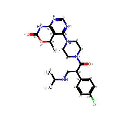 CC(C)NC[C@@H](C(=O)N1CCN(c2ncnc3c2C(C)OC(=O)N3)CC1)c1ccc(Cl)cc1